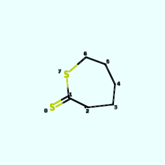 S=C1[CH]CCCCS1